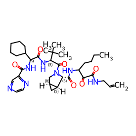 C=CCNC(=O)C(=O)C(CCCC)NC(=O)[C@@H]1[C@H]2C[C@H]2CN1C(=O)[C@@H](NC(=O)[C@@H](NC(=O)c1cnccn1)C1CCCCC1)C(C)(C)C